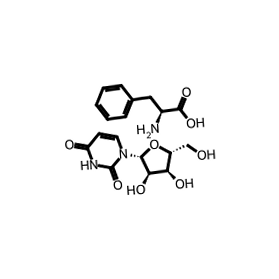 N[C@@H](Cc1ccccc1)C(=O)O.O=c1ccn([C@@H]2O[C@H](CO)[C@@H](O)[C@H]2O)c(=O)[nH]1